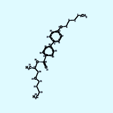 CCCCCOc1ccc(-c2ccc(C(=O)OC(C)COCCCC)cc2)cc1